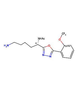 CC(=O)N[C@@H](CCCCN)c1nnc(-c2ccccc2OC(F)(F)F)o1